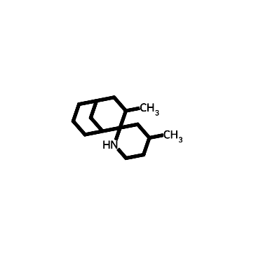 CC1CCNC2(C1)C(C)CC1CCCC2C1